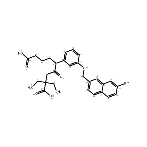 CCC(CC)(CC(=O)N(CCCC(=O)O)c1cccc(OCc2ccc3ccc(F)cc3n2)c1)C(=O)O